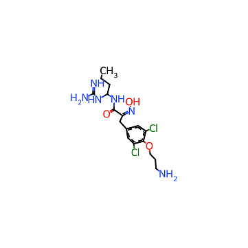 CCCC(NC(=N)N)NC(=O)C(Cc1cc(Cl)c(OCCCN)c(Cl)c1)=NO